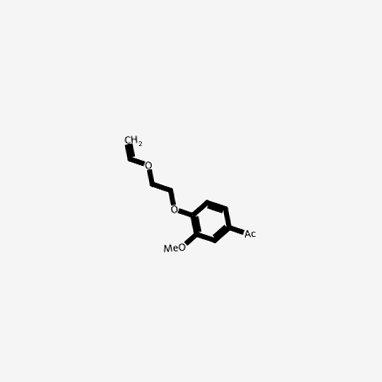 C=COCCOc1ccc(C(C)=O)cc1OC